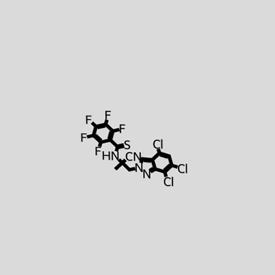 CC(C#N)(Cn1cc2c(Cl)cc(Cl)c(Cl)c2n1)NC(=S)c1c(F)c(F)c(F)c(F)c1F